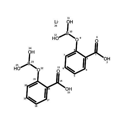 O=C(O)c1ccccc1OB(O)O.O=C(O)c1ccccc1OB(O)O.[Li]